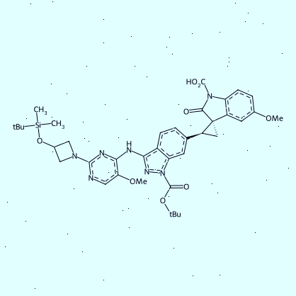 COc1ccc2c(c1)[C@]1(C[C@H]1c1ccc3c(Nc4nc(N5CC(O[Si](C)(C)C(C)(C)C)C5)ncc4OC)nn(C(=O)OC(C)(C)C)c3c1)C(=O)N2C(=O)O